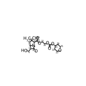 CC1(C)SC2C(CO)C(=O)N2C1C(=O)OCCOC(=O)OC1CCOCC1